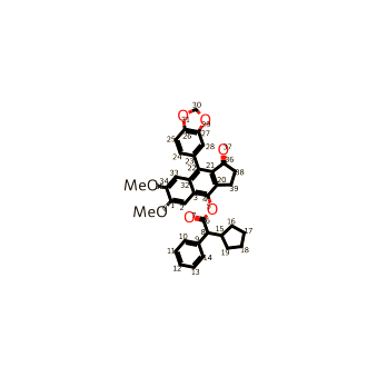 COc1cc2c(OC(=O)C(c3ccccc3)C3CCCC3)c3c(c(-c4ccc5c(c4)OCO5)c2cc1OC)C(=O)CC3